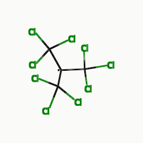 ClC(Cl)(Cl)[C](C(Cl)(Cl)Cl)C(Cl)(Cl)Cl